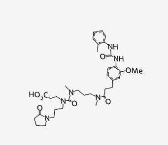 COc1cc(CCC(=O)N(C)CCCN(C)C(=O)N(CCCN2CCCC2=O)CCC(=O)O)ccc1NC(=O)Nc1ccccc1C